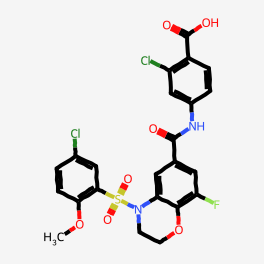 COc1ccc(Cl)cc1S(=O)(=O)N1CCOc2c(F)cc(C(=O)Nc3ccc(C(=O)O)c(Cl)c3)cc21